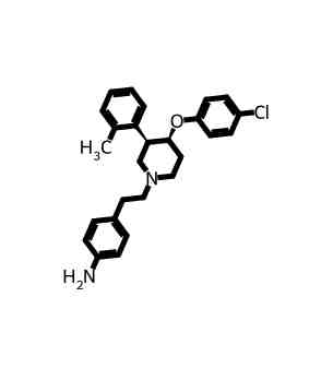 Cc1ccccc1[C@@H]1CN(CCc2ccc(N)cc2)CC[C@@H]1Oc1ccc(Cl)cc1